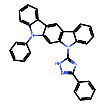 c1ccc(-c2n[nH]c(-n3c4ccccc4c4cc5c6ccccc6n(-c6ccccc6)c5cc43)n2)cc1